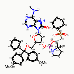 COc1ccc(C(OC[C@H]2O[C@@H](n3c(=O)[nH]c4c(N(C)C)ncnc43)C[C@@H]2O[P@]2O[C@H](CS(=O)(=O)c3ccccc3)[C@@H]3CCCN32)(c2ccccc2)c2ccc(OC)cc2)cc1